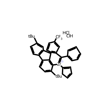 CC(C)(C)c1ccc2c(c1)Cc1c-2ccc(C(C)(C)C)[c]1/[Zr]([C]1=CC=CC1)=[C](/c1ccccc1)c1cccc(C(F)(F)F)c1.Cl.Cl